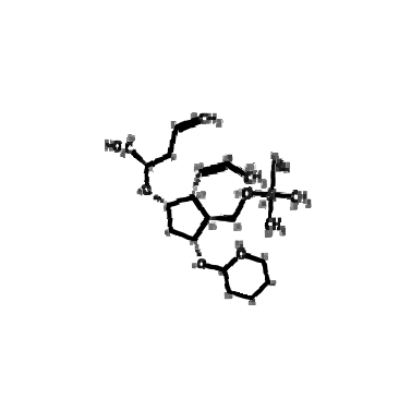 C=CC[C@@H](O[C@H]1C[C@@H](OC2CCCCO2)[C@H](CO[Si](C)(C)C(C)(C)C)[C@H]1/C=C\C)C(=O)O